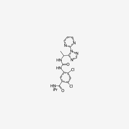 CC(C)NC(=O)c1cc(NC(=O)NC(C)c2ncnn2-c2ncccn2)c(Cl)cc1Cl